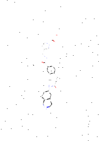 CC(C)(C)OC(=O)N1CCC(CNC(=O)c2ccc(C3CC3C(=O)Nc3ccc4cnccc4c3)cc2)C1